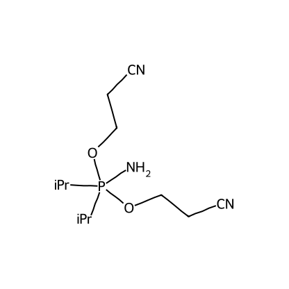 CC(C)P(N)(OCCC#N)(OCCC#N)C(C)C